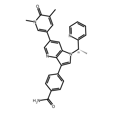 Cc1cc(-c2cnc3c(-c4ccc(C(N)=O)cc4)cn([C@@H](C)c4ccccn4)c3c2)cn(C)c1=O